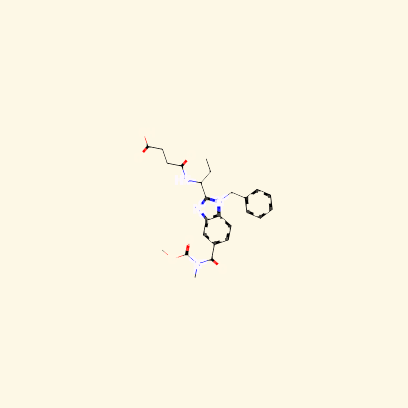 CCC(NC(=O)CCC(=O)O)c1nc2cc(C(=O)N(C)C(=O)OC)ccc2n1Cc1ccccc1